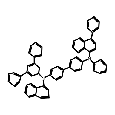 C1=C(c2ccccc2)C=C(c2ccccc2)CC1N(c1ccc(-c2ccc(N(c3ccccc3)c3ccc(-c4ccccc4)c4ccccc34)cc2)cc1)c1cccc2ccccc12